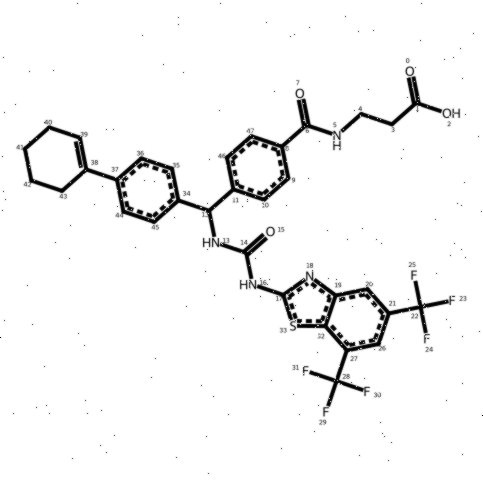 O=C(O)CCNC(=O)c1ccc(C(NC(=O)Nc2nc3cc(C(F)(F)F)cc(C(F)(F)F)c3s2)c2ccc(C3=CCCCC3)cc2)cc1